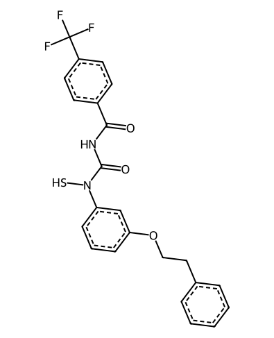 O=C(NC(=O)N(S)c1cccc(OCCc2ccccc2)c1)c1ccc(C(F)(F)F)cc1